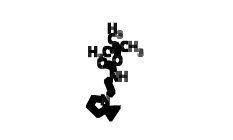 CC(C)(C)OC(=O)NCCN1CCCC12CC2